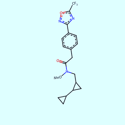 CON(CC1CC1C1CC1)C(=O)Cc1ccc(-c2noc(C(F)(F)F)n2)cc1